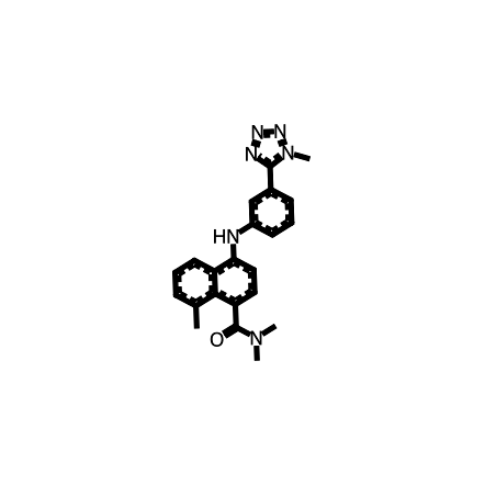 Cc1cccc2c(Nc3cccc(-c4nnnn4C)c3)ccc(C(=O)N(C)C)c12